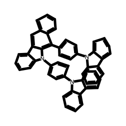 c1ccc2c(-c3ccc(-n4c5ccccc5c5ccccc54)cc3)c3c(cc2c1)c1ccccc1n3-c1ccc(-n2c3ccccc3c3ccccc32)cc1